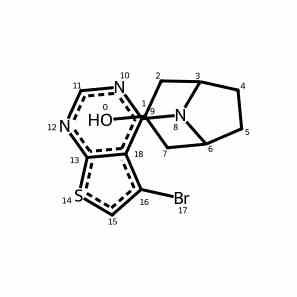 OC1CC2CCC(C1)N2c1ncnc2scc(Br)c12